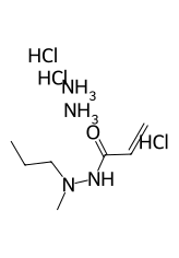 C=CC(=O)NN(C)CCC.Cl.Cl.Cl.N.N